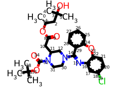 C[C@H](CC(C)(C)O)OC(=O)CC1CN(C2=Nc3cc(Cl)ccc3Oc3ccccc32)CCN1C(=O)OC(C)(C)C